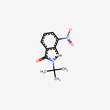 CC(C)(C)n1[se]c2c([N+](=O)[O-])cccc2c1=O